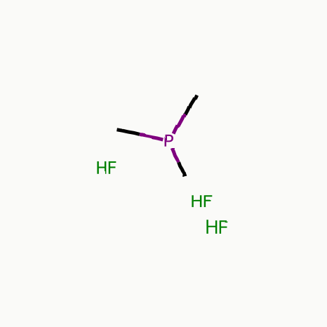 CP(C)C.F.F.F